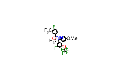 COc1ccc([C@@](C)(NC(=O)c2ccc(F)c(C(F)(F)F)c2)c2cc(F)cc(OC(F)(F)C(F)F)c2)cc1